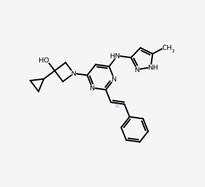 Cc1cc(Nc2cc(N3CC(O)(C4CC4)C3)nc(/C=C/c3ccccc3)n2)n[nH]1